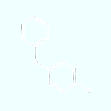 [Li][c]1ccc(Oc2ccccc2)cc1